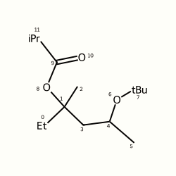 CCC(C)(CC(C)OC(C)(C)C)OC(=O)C(C)C